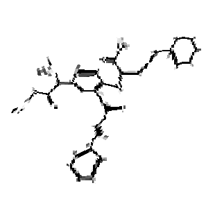 COC(=O)C(C)c1ccc(OC(CCC2=CCCCC2)C(=O)O)c(C(=O)/C=C/c2ccccc2)c1